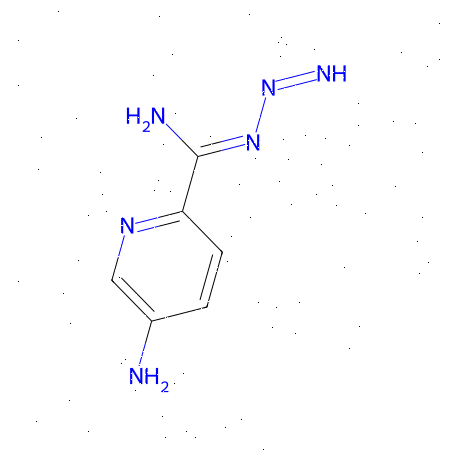 N=N/N=C(\N)c1ccc(N)cn1